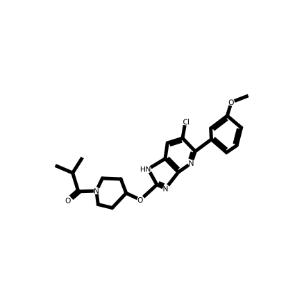 COc1cccc(-c2nc3nc(OC4CCN(C(=O)C(C)C)CC4)[nH]c3cc2Cl)c1